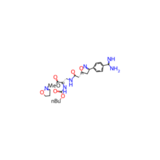 C1=NOCC1.CCCCOC(=O)N[C@@H](CNC(=O)C[C@H]1CC(c2ccc(C(=N)N)cc2)=NO1)C(=O)OC